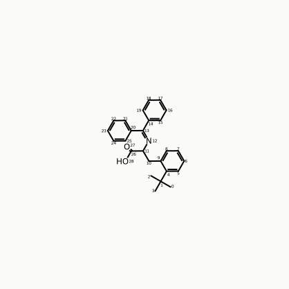 CC(C)(C)c1ccccc1CC(N=C(c1ccccc1)c1ccccc1)C(=O)O